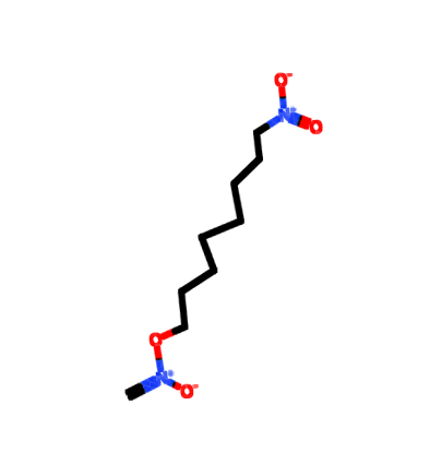 C=[N+]([O-])OCCCCCCCC[N+](=O)[O-]